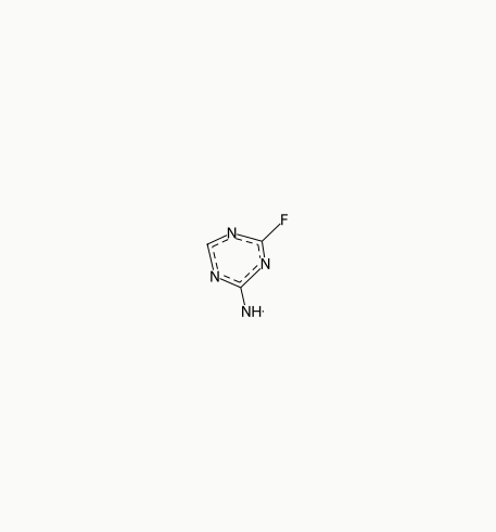 [NH]c1ncnc(F)n1